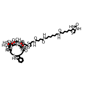 CC1NC(=O)C(CC2(C)SCC(CNC(=O)CCC(=O)NCCCCCCNC(=O)CCCCC3SCC4NC(=O)NC43)S2)NC(=O)C2Cc3c([nH]c4ccccc34)SCC(NC(=O)C(C(C)O)NC1=O)C(=O)N1CC(O)CC1C(=O)NC(C)C(=O)N2